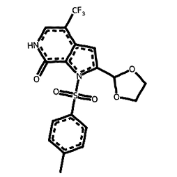 Cc1ccc(S(=O)(=O)n2c(C3OCCO3)cc3c(C(F)(F)F)c[nH]c(=O)c32)cc1